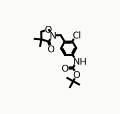 CC(C)(C)OC(=O)Nc1ccc(CN2OCC(C)(C)C2=O)c(Cl)c1